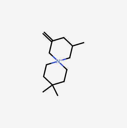 C=C1CC(C)C[N+]2(CCC(C)(C)CC2)C1